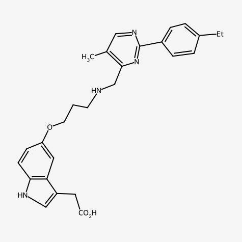 CCc1ccc(-c2ncc(C)c(CNCCCOc3ccc4[nH]cc(CC(=O)O)c4c3)n2)cc1